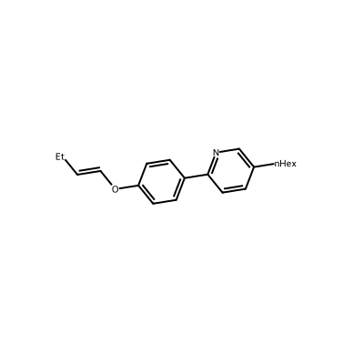 CCC=COc1ccc(-c2ccc(CCCCCC)cn2)cc1